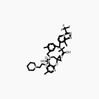 Cc1cnc2c(c1)S(=O)(O)(OCCN1CCCCC1)N(Cc1cc([C@@H](c3ccn4c(C(F)(F)F)nnc4c3C)C(C)(C)C(=O)O)ccc1C)CC1(CC1)O2